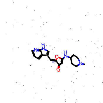 CN1CCC(NC2=CC(=O)/C(=C/c3c[nH]c4ncccc34)O2)CC1